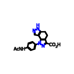 CC(=O)Nc1ccc(-n2nc(C(=O)O)c3c2-c2cn[nH]c2CC3)cc1